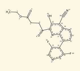 CCOC(=O)CCC(=O)c1nc2c(-c3c(F)cncc3F)cccc2c(C#N)c1O